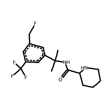 CC(C)(NC(=O)C1CCCCN1)c1cc(CF)cc(C(F)(F)F)c1